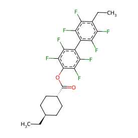 CCc1c(F)c(F)c(-c2c(F)c(F)c(OC(=O)[C@H]3CC[C@H](CC)CC3)c(F)c2F)c(F)c1F